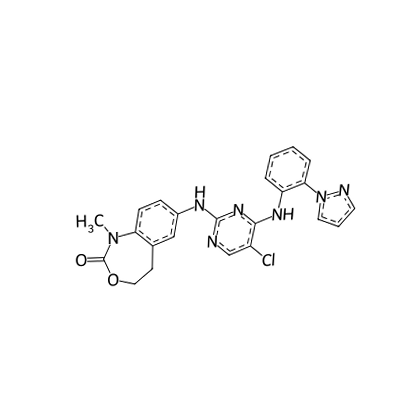 CN1C(=O)OCCc2cc(Nc3ncc(Cl)c(Nc4ccccc4-n4cccn4)n3)ccc21